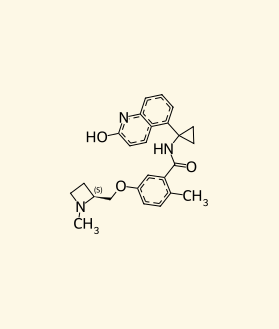 Cc1ccc(OC[C@@H]2CCN2C)cc1C(=O)NC1(c2cccc3nc(O)ccc23)CC1